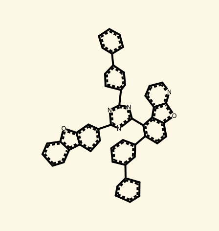 c1ccc(-c2ccc(-c3nc(-c4ccc5c(c4)oc4ccccc45)nc(-c4c(-c5cccc(-c6ccccc6)c5)ccc5oc6ncccc6c45)n3)cc2)cc1